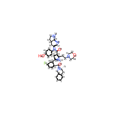 C[C@@H]1Cc2ccccc2CN1C(=O)c1ccc(F)cc1-c1cc(C(=O)N(C2=CN=C3C(CCN3C)C2)c2ccc(O)cc2)c(CCN2CCOCC2)n1C